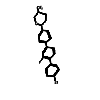 CCc1ccc(-c2ccc(-c3ccc(C4CCC(C)CO4)cc3)cc2F)cc1